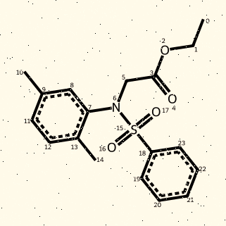 CCOC(=O)CN(c1cc(C)ccc1C)S(=O)(=O)c1ccccc1